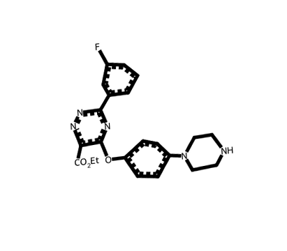 CCOC(=O)c1nnc(-c2cccc(F)c2)nc1Oc1ccc(N2CCNCC2)cc1